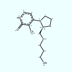 O=c1[nH]ncc(N2CCC[C@H]2COCCCO)c1C(F)(F)F